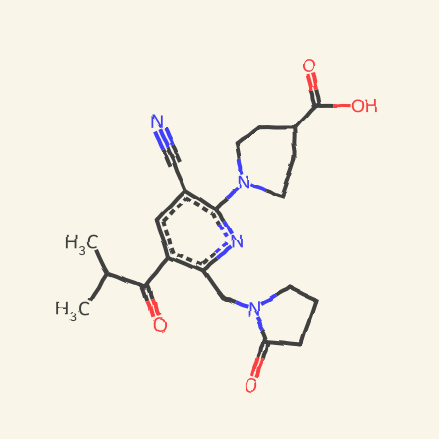 CC(C)C(=O)c1cc(C#N)c(N2CCC(C(=O)O)CC2)nc1CN1CCCC1=O